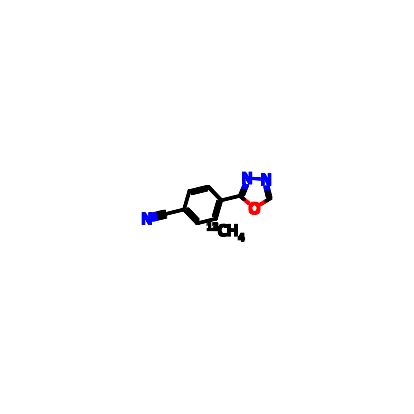 N#Cc1ccc(-c2nnco2)cc1.[13CH4]